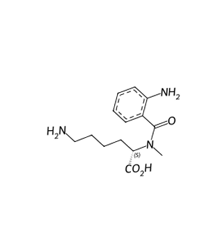 CN(C(=O)c1ccccc1N)[C@@H](CCCCN)C(=O)O